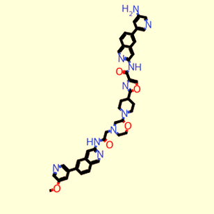 COc1cncc(-c2ccc3cnc(NC(=O)CN4CCOC(N5CCC(c6nc(C(=O)Nc7cc8cc(-c9cncc(N)c9)ccc8cn7)co6)CC5)C4)cc3c2)c1